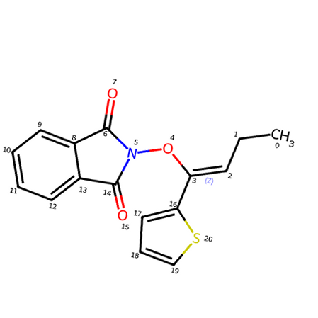 CC/C=C(\ON1C(=O)c2ccccc2C1=O)c1cccs1